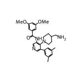 COc1cc(OC)cc(C(=O)Nc2cncc(-c3cc(C)cc(C)c3)c2N2CCC(CN)CC2)c1